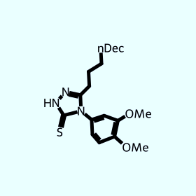 CCCCCCCCCCCCCc1n[nH]c(=S)n1-c1ccc(OC)c(OC)c1